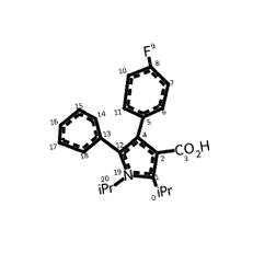 CC(C)c1c(C(=O)O)c(-c2ccc(F)cc2)c(-c2ccccc2)n1C(C)C